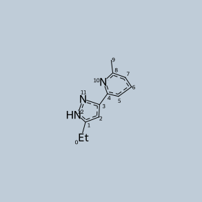 CCc1cc(-c2cccc(C)n2)n[nH]1